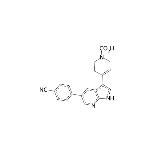 N#Cc1ccc(-c2cnc3[nH]cc(C4=CCN(C(=O)O)CC4)c3c2)cc1